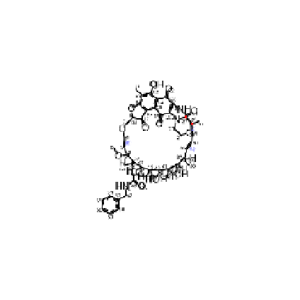 CO[C@H]1/C=C/O[C@@]2(C)Oc3c(C)c(O)c4c(c3C2=O)C(=O)C(N2CCOCC2)=C(NC(=O)/C(C)=C\C=C\[C@H](C)[C@H](O)[C@@H](C)[C@@H](O)[C@@H](C)[C@H](OC(=O)NCc2ccccc2)[C@@H]1C)C4=O